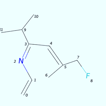 C=C/N=C(\C=C(/C)CF)C(C)C